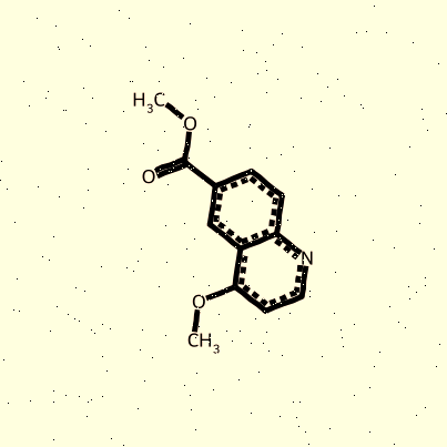 COC(=O)c1ccc2nccc(OC)c2c1